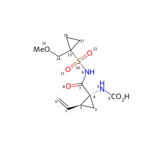 C=C[C@@H]1C[C@]1(NC(=O)O)C(=O)NS(=O)(=O)C1(COC)CC1